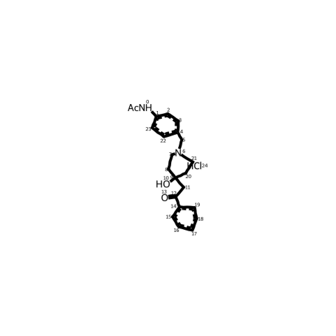 CC(=O)Nc1ccc(CN2CCC(O)(CC(=O)c3ccccc3)CC2)cc1.Cl